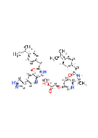 CC(C)c1ccc(CC(=O)N[C@H](C)c2ccc(-c3cn[nH]c3)cn2)cc1.CC(C)c1ccc(CC(=O)N[C@H](C)c2ccc(OCC(=O)O)cn2)cc1